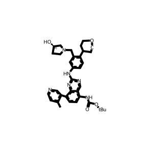 Cc1ccncc1-c1ccc(NC(=O)OC(C)(C)C)c2cnc(Nc3ccc(C4CCOCC4)c(CN4CC[C@@H](O)C4)c3)nc12